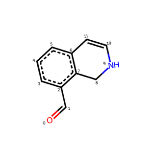 O=Cc1cccc2c1CNC=C2